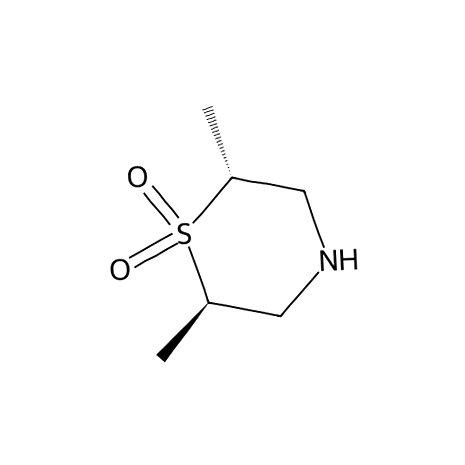 C[C@@H]1CNC[C@@H](C)S1(=O)=O